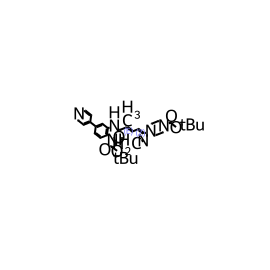 C=N/C(=C\C=C(/C)C(=O)Nc1cc(-c2ccncc2)ccc1NC(=O)OC(C)(C)C)N1CCN(C(=O)OC(C)(C)C)CC1